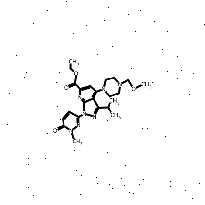 CCOC(=O)c1cc(N2CCN(COC)CC2)c2c(C(C)C)nn(-c3ccc(=O)n(C)n3)c2n1